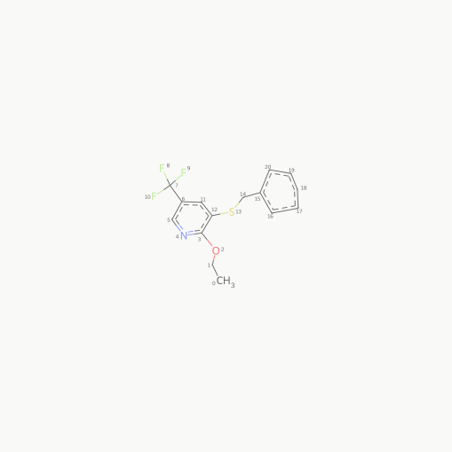 CCOc1ncc(C(F)(F)F)cc1SCc1ccccc1